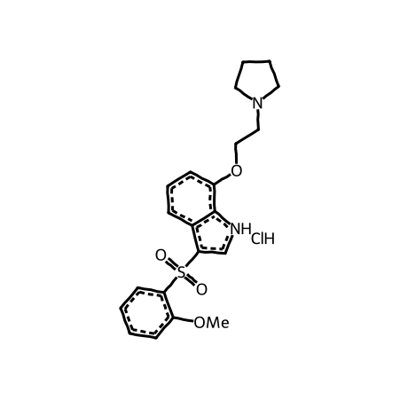 COc1ccccc1S(=O)(=O)c1c[nH]c2c(OCCN3CCCC3)cccc12.Cl